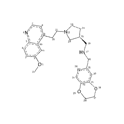 COc1ccc2nccc(CCN3C[CH][C@@H](CNCc4cc5c(cn4)OCCO5)C3)c2c1